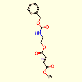 CC(C)OC(=O)/C=C/C(=O)OCCNC(=O)OCc1ccccc1